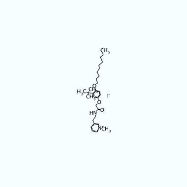 CCCCCCCCCCOc1ccc(OCC(=O)NCCc2ccc[n+](C)c2)cc1C(C)(C)C.[I-]